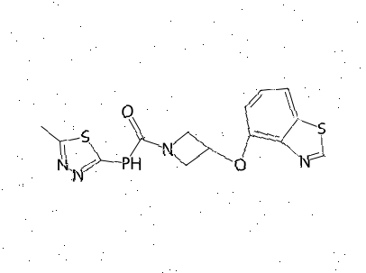 Cc1nnc(PC(=O)N2CC(Oc3cccc4scnc34)C2)s1